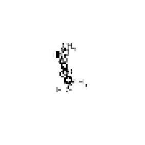 C=CC(=O)Nc1cc2c(o1)CN(S(=O)(=O)c1ccc(OC)c(C)c1)C2